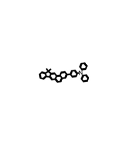 CC1(C)c2ccccc2-c2cc3ccc4cc(-c5ccc(N(c6ccccc6)c6ccccc6)cc5)ccc4c3cc21